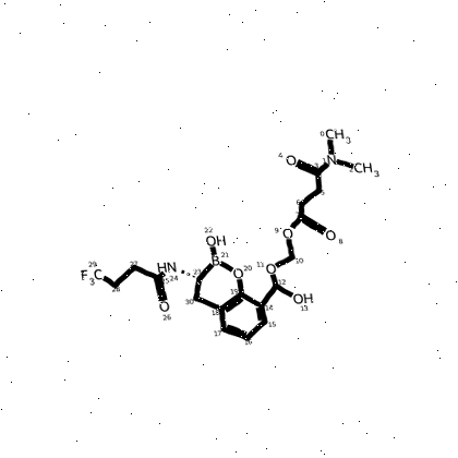 CN(C)C(=O)CCC(=O)OCOC(O)c1cccc2c1OB(O)[C@@H](NC(=O)CCC(F)(F)F)C2